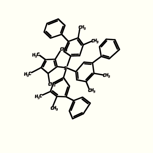 CC1=C(C)C(C)C([Si](c2cc(C)c(C)c(-c3ccccc3)c2)(c2cc(C)c(C)c(-c3ccccc3)c2)c2cc(C)c(C)c(-c3ccccc3)c2)=C1C